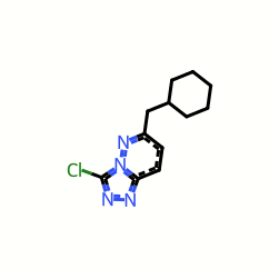 Clc1nnc2ccc(CC3CCCCC3)nn12